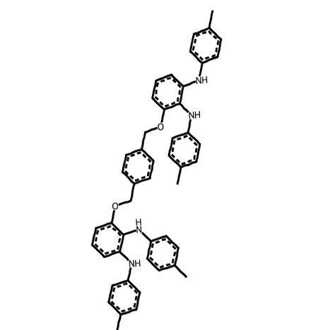 Cc1ccc(Nc2cccc(OCc3ccc(COc4cccc(Nc5ccc(C)cc5)c4Nc4ccc(C)cc4)cc3)c2Nc2ccc(C)cc2)cc1